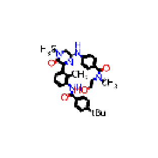 Cc1c(NC(=O)c2ccc(C(C)(C)C)cc2)cccc1C1=N[C@H](Nc2ccc(C(=O)N(C)CCO)cc2)CN(C)C1=O